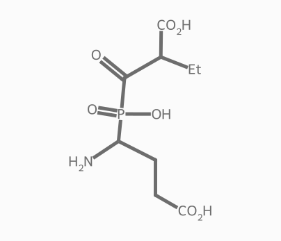 CCC(C(=O)O)C(=O)P(=O)(O)C(N)CCC(=O)O